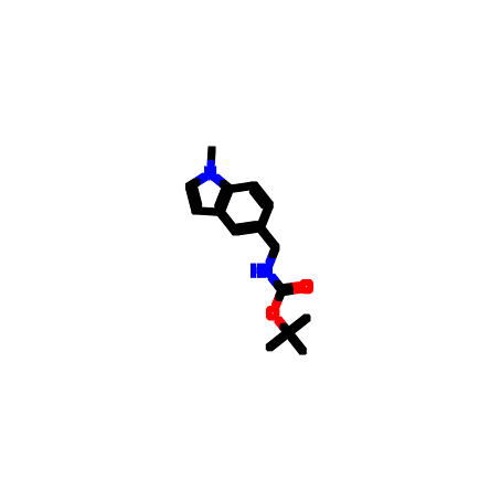 Cn1ccc2cc(CNC(=O)OC(C)(C)C)ccc21